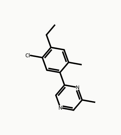 CCc1cc(C)c(-c2cncc(C)n2)cc1Cl